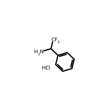 Cl.NC(c1ccccc1)C(F)(F)F